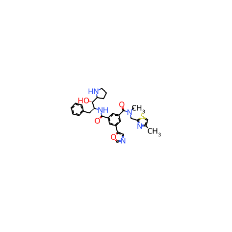 Cc1csc(CN(C)C(=O)c2cc(C(=O)N[C@@H](Cc3ccccc3)[C@H](O)C3CCCN3)cc(-c3cnco3)c2)n1